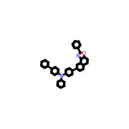 c1ccc(-c2ccc(N(c3ccccc3)c3ccc(-c4ccc5ccc6oc(-c7ccccc7)nc6c5c4)cc3)cc2)cc1